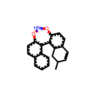 CC1C=Cc2ccc3o[nH]oc4ccc5ccccc5c4c3c2C1